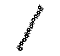 c1ccc2c(-c3ccc(-c4ccc(-c5ccc6c(c5)sc5c7ccc(-c8ccc9c(c8)sc8c%10ccc(-c%11ccc(-c%12ccc(-c%13csc%14ccccc%13%14)cc%12)cc%11)cc%10sc98)cc7sc65)cc4)cc3)csc2c1